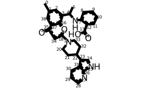 Cc1cc(C(C)Nc2ccccc2C(=O)O)c2oc(N3CCC(c4c[nH]c5ncccc45)CC3)cc(=O)c2c1